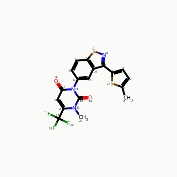 Cc1ccc(-c2nsc3ccc(-n4c(=O)cc(C(F)(F)F)n(C)c4=O)cc23)s1